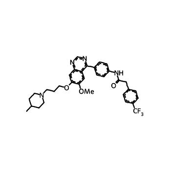 COc1cc2c(-c3ccc(NC(=O)Cc4ccc(C(F)(F)F)cc4)cc3)ncnc2cc1OCCCN1CCC(C)CC1